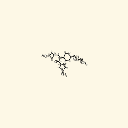 COBNC1CCC(N(CC2CC(O)C2)C(=O)C2CN(C)C=N2)CC1